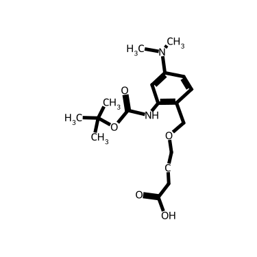 CN(C)c1ccc(COCCCC(=O)O)c(NC(=O)OC(C)(C)C)c1